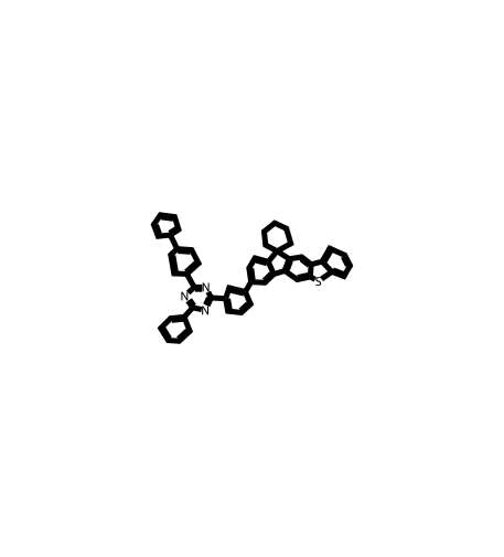 c1ccc(-c2ccc(-c3nc(-c4ccccc4)nc(-c4cccc(-c5ccc6c(c5)-c5cc7sc8ccccc8c7cc5C65CCCCC5)c4)n3)cc2)cc1